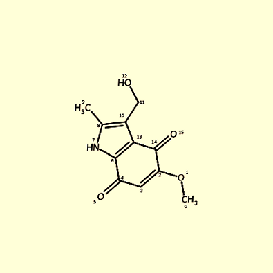 COC1=CC(=O)c2[nH]c(C)c(CO)c2C1=O